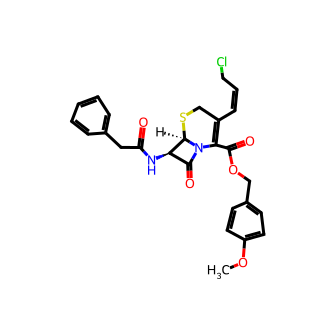 COc1ccc(COC(=O)C2=C(/C=C\CCl)CS[C@@H]3[C@H](NC(=O)Cc4ccccc4)C(=O)N23)cc1